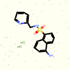 Cl.Cl.Nc1cccc2c(S(=O)(=O)NCc3ccccn3)cccc12